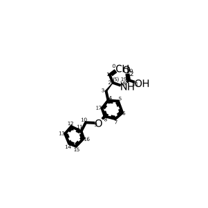 C=C[C@H](Cc1cccc(OCc2ccccc2)c1)NC(=O)O